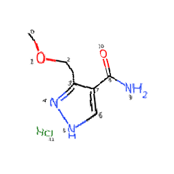 COCc1n[nH]cc1C(N)=O.Cl